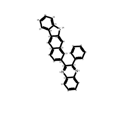 c1ccc(-c2nc3ccccc3nc2-c2ccc3cc4c(cc3c2)sc2ccccc24)cc1